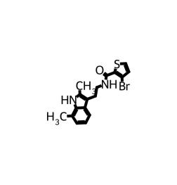 Cc1[nH]c2c(C)cccc2c1CCNC(=O)c1sccc1Br